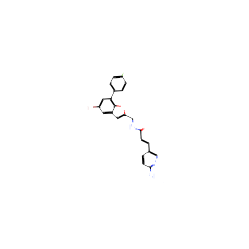 Nc1ccc(C=CC(=O)NCc2cc3cc(Br)cc(-c4ccc(F)cc4)c3o2)cn1